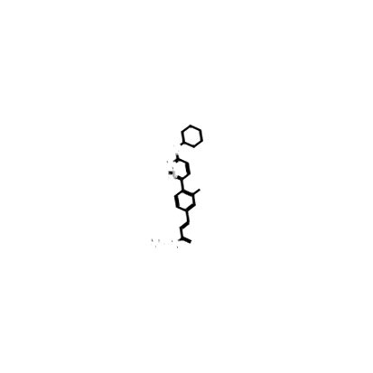 C=C(/C=C/c1ccc(-c2ccc(SC3CCCCC3)nn2)c(C)c1)NC